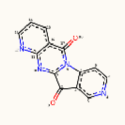 O=C1c2cnccc2-n2c1nc1ncccc1c2=O